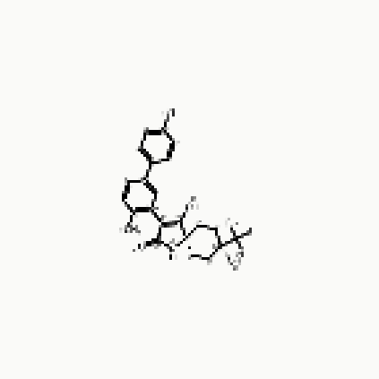 Cc1ccc(-c2ccc(Cl)cc2)cc1C1=C(O)[C@]2(CC[C@](O)(C(F)(F)F)CC2)NC1=O